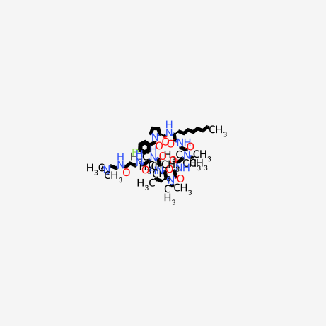 CCCCCCCC[C@H](NC(=O)[C@@H]1CCCN1C(=O)c1ccc(F)cc1)C(=O)NCC(=O)N(C(C)C)C(C)(C)C(=O)NCC(=O)N(C(C)C)[C@@H](CC(C)C)C(=O)NC(C)(C)C(=O)NC(C)(C)C(=O)NCCC(=O)NCCN(C)C